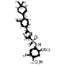 COc1cc(C(=O)O)c(F)cc1NS(=O)(=O)c1csc(-c2ccc(C3=CCC(C)(C)CC3)c(C)c2)n1